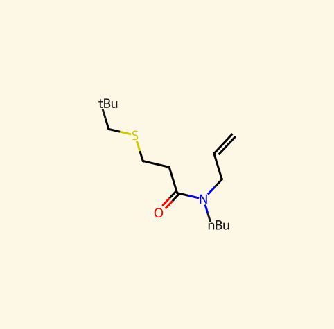 C=CCN(CCCC)C(=O)CCSCC(C)(C)C